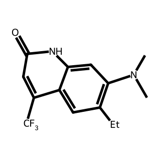 CCc1cc2c(C(F)(F)F)cc(=O)[nH]c2cc1N(C)C